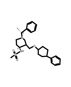 C[C@H](c1ccccc1)N1CC[C@H](NS(C)(=O)=O)C(COC2CCC(c3ccccc3)CC2)C1